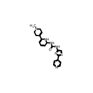 CN1CC=C(C2=CC=CC(NC(=O)Nc3csc(-c4ccncc4)n3)N2)CC1